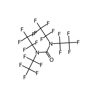 O=C(N(C(F)(F)C(F)(F)F)C(F)(F)C(F)(F)F)N(C(F)(F)C(F)(F)F)C(F)(F)C(F)(F)F